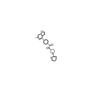 Cc1cc2occc2c(-c2ccc(C(=O)NC3CCN(c4ncccn4)C3)cc2)n1